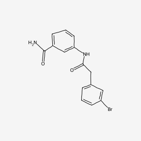 NC(=O)c1cccc(NC(=O)Cc2cccc(Br)c2)c1